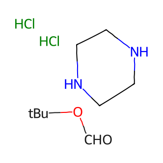 C1CNCCN1.CC(C)(C)OC=O.Cl.Cl